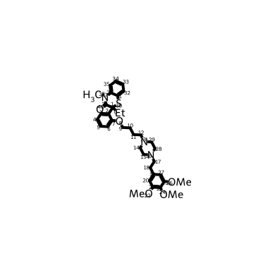 CCC1(c2ccccc2OCCCCN2CCN(CCc3cc(OC)c(OC)c(OC)c3)CC2)Sc2ccccc2N(C)C1=O